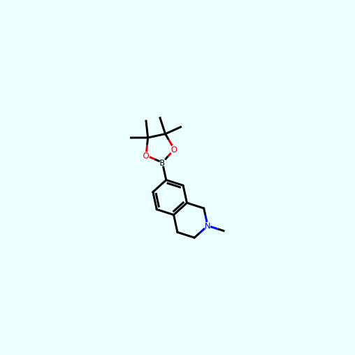 CN1CCc2ccc(B3OC(C)(C)C(C)(C)O3)cc2C1